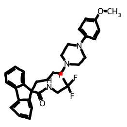 COc1ccc(N2CCN(CCCCC3(C(=O)NCC(F)(F)F)c4ccccc4-c4ccccc43)CC2)cc1